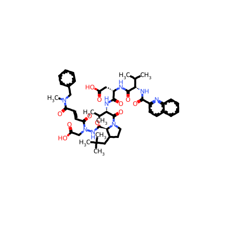 CC(C)[C@H](NC(=O)c1ccc2ccccc2n1)C(=O)N[C@@H](CC(=O)O)C(=O)N[C@H](C(=O)N1CCC(CC(C)(C)C)[C@H]1C(=O)NN(CC(=O)O)C(=O)/C=C/C(=O)N(C)Cc1ccccc1)C(C)C